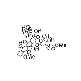 COc1cccc2c1C(=O)c1c(O)c3c(c(O)c1C2=O)C[C@@](O)(C(=O)CO)C[C@@H]3O[C@H]1C[C@H](N2CCO[C@H](OC)C2)[C@H](O)[C@H](C)O1.Cl.O.O